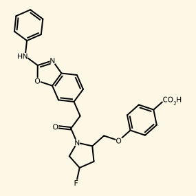 O=C(O)c1ccc(OCC2CC(F)CN2C(=O)Cc2ccc3nc(Nc4ccccc4)oc3c2)cc1